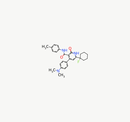 Cc1ccc(NC(=O)c2c(-c3ccc(N(C)C)cc3)cc(C3(F)CCCCC3)[nH]c2=O)cc1